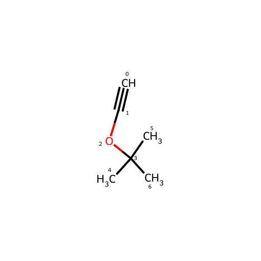 C#COC(C)(C)C